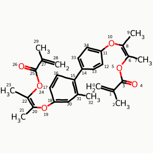 C=C(C)C(=O)OC(C)=C(C)Oc1ccc(-c2ccc(OC(C)=C(C)OC(=O)C(=C)C)cc2C)cc1